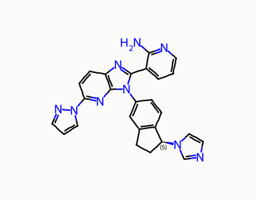 Nc1ncccc1-c1nc2ccc(-n3cccn3)nc2n1-c1ccc2c(c1)CC[C@@H]2n1ccnc1